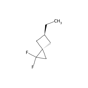 CC[C@H]1C[C@@]2(CC2(F)F)C1